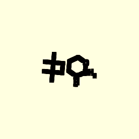 CC1(C)CCC1(C)C.C[SiH]1CCCO[SiH2]1